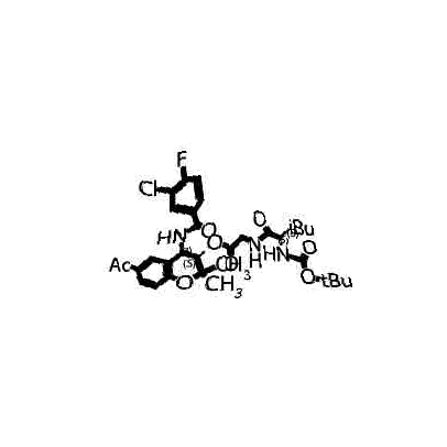 CC[C@H](C)[C@H](NC(=O)OC(C)(C)C)C(=O)NCC(=O)O[C@H]1[C@H](NC(=O)c2ccc(F)c(Cl)c2)c2cc(C(C)=O)ccc2OC1(C)C